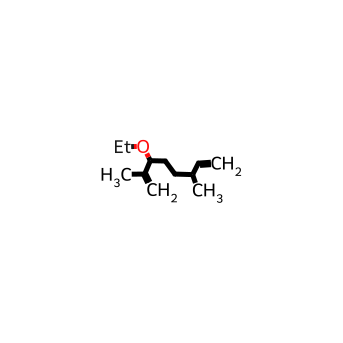 C=CC(C)CCC(OCC)C(=C)C